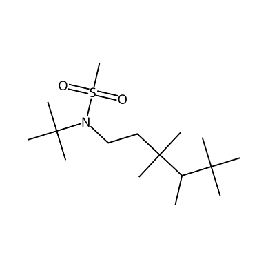 CC(C(C)(C)C)C(C)(C)CCN(C(C)(C)C)S(C)(=O)=O